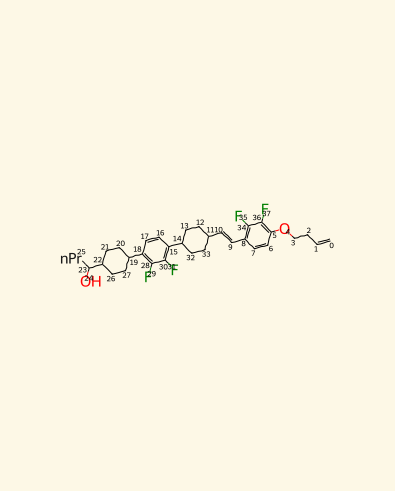 C=CCCOc1ccc(/C=C/C2CCC(c3ccc(C4CCC(C(O)CCC)CC4)c(F)c3F)CC2)c(F)c1F